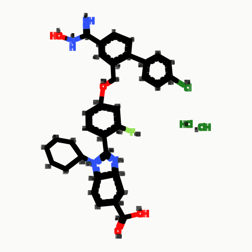 Cl.Cl.N=C(NO)c1ccc(-c2ccc(Cl)cc2)c(COc2ccc(-c3nc4cc(C(=O)O)ccc4n3C3CCCCC3)c(F)c2)c1